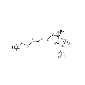 CCCCCCCC[Si](C)(Br)OCC